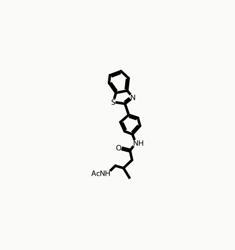 CC(=O)NCC(C)CC(=O)Nc1ccc(-c2nc3ccccc3s2)cc1